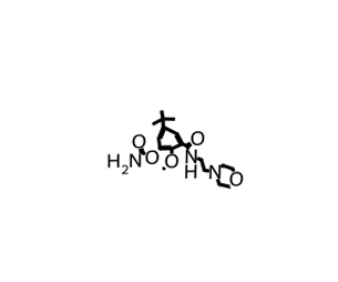 COc1c(OC(N)=O)cc(C(C)(C)C)cc1C(=O)NCCN1CCOCC1